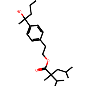 CCCC(C)(O)c1ccc(CCOC(=O)C(C)(CC(C)C)C(C)C)cc1